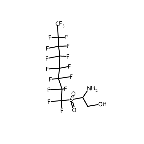 NC(CO)S(=O)(=O)C(F)(F)C(F)(F)C(F)(F)C(F)(F)C(F)(F)C(F)(F)C(F)(F)C(F)(F)F